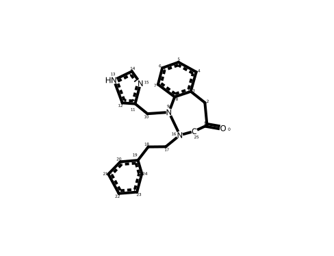 O=C1Cc2ccccc2N(Cc2c[nH]cn2)N(CCc2ccccc2)C1